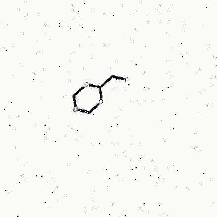 ClCC1OCOCO1